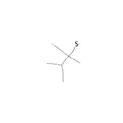 C[C](C)C(C)(C)[S]